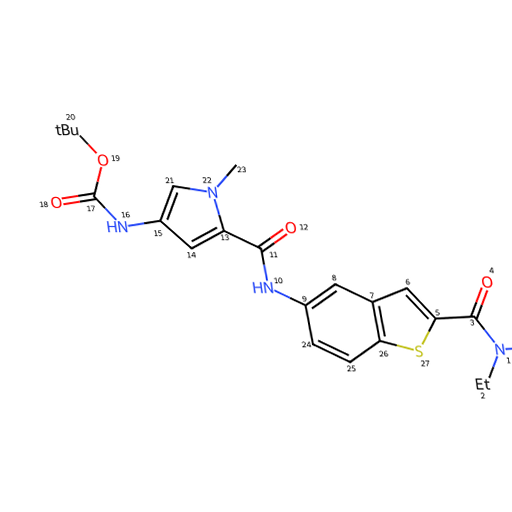 CCN(CC)C(=O)c1cc2cc(NC(=O)c3cc(NC(=O)OC(C)(C)C)cn3C)ccc2s1